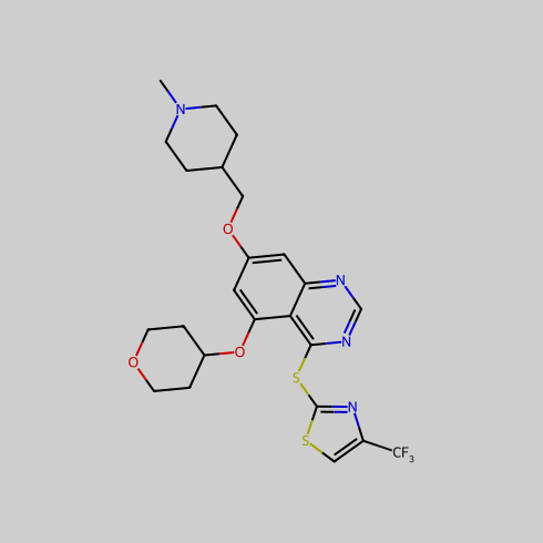 CN1CCC(COc2cc(OC3CCOCC3)c3c(Sc4nc(C(F)(F)F)cs4)ncnc3c2)CC1